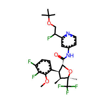 COc1c([C@H]2[C@H](C(=O)Nc3ccnc(C(F)COC(C)(C)C)c3)O[C@@](C)(C(F)(F)F)[C@H]2C)ccc(F)c1F